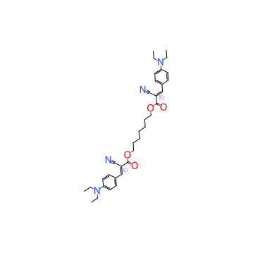 CCN(CC)c1ccc(/C=C(\C#N)C(=O)OCCCCCCCOC(=O)/C(C#N)=C/c2ccc(N(CC)CC)cc2)cc1